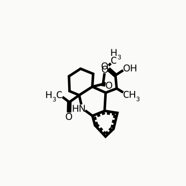 COC(=O)C12CCCCC1(C(C)=O)Nc1ccccc1C2C(C)C(=O)O